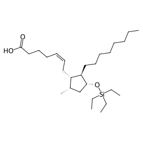 CCCCCCCC[C@@H]1[C@@H](C/C=C\CCCC(=O)O)[C@@H](C)C[C@H]1O[Si](CC)(CC)CC